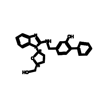 OC[C@@H]1CC[C@H](n2c(NCc3ccc(-c4ccccc4)c(O)c3)nc3ccccc32)O1